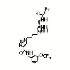 CC(C)CC(=O)NCC1=CN(CCCCn2cc(C(=O)NCc3cccc(OC(F)(F)F)c3)nn2)NN1